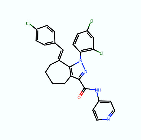 O=C(Nc1ccncc1)c1nn(-c2ccc(Cl)cc2Cl)c2c1CCCC/C2=C\c1ccc(Cl)cc1